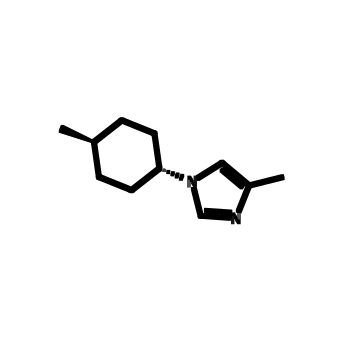 Cc1cn([C@H]2CC[C@H](C)CC2)cn1